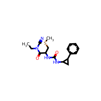 CCN(C#N)C(=O)C(CSC)NC(=O)NC1CC1c1ccccc1